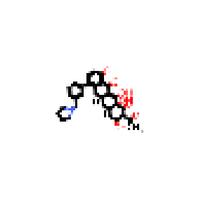 CC(=O)C1C(=O)[C@@]2(O)C(O)=C3C(=O)c4c(O)ccc(-c5cccc(CN6CCCC6)c5)c4C[C@H]3C[C@H]2CC1O